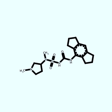 CN1CCC(N(C)S(=O)(=O)NC(=O)Nc2c3c(cc4c2CCC4)CCC3)C1